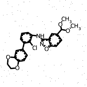 COC(OC)c1ccc2onc(Nc3cccc(-c4ccc5c(c4)OCCO5)c3Cl)c2c1